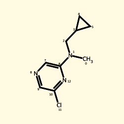 CN(CC1CC1)c1cncc(Cl)n1